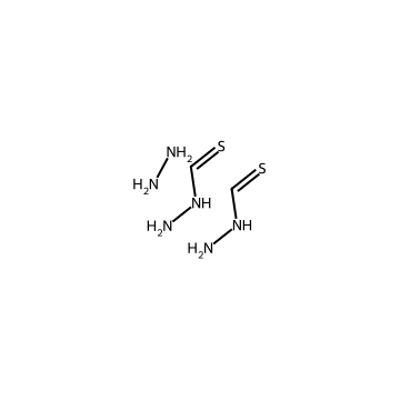 NN.NNC=S.NNC=S